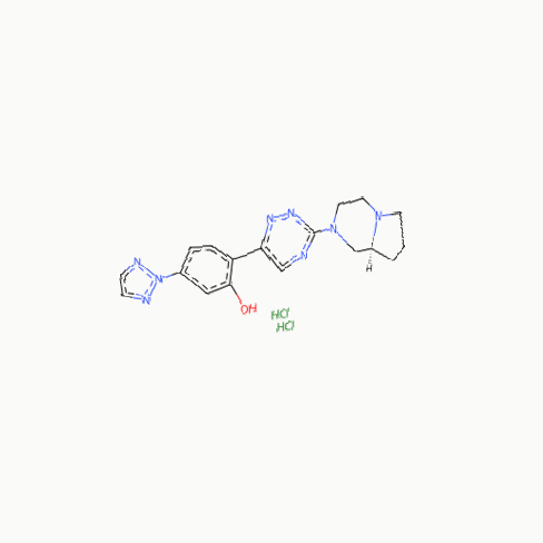 Cl.Cl.Oc1cc(-n2nccn2)ccc1-c1cnc(N2CCN3CCC[C@H]3C2)nn1